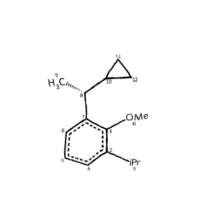 COc1c(C(C)C)cccc1[C@H](C)C1CC1